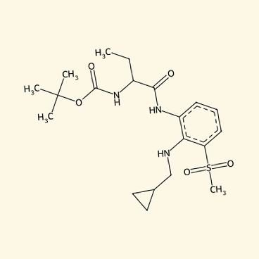 CCC(NC(=O)OC(C)(C)C)C(=O)Nc1cccc(S(C)(=O)=O)c1NCC1CC1